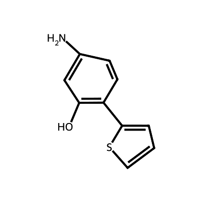 Nc1ccc(-c2cccs2)c(O)c1